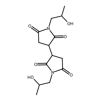 CC(O)CN1C(=O)CC(C2CC(=O)N(CC(C)O)C2=O)C1=O